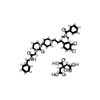 CN(C[C@@H](CCN1CCC(N2CCCN(CC(=O)NCc3ccccc3)C2=O)CC1)c1ccc(Cl)c(Cl)c1)C(=O)c1ccccc1.O=C(O)CC(O)(CC(=O)O)C(=O)O